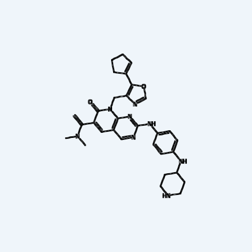 C=C(c1cc2cnc(Nc3ccc(NC4CCNCC4)cc3)nc2n(Cc2ncoc2C2=CCCC2)c1=O)N(C)C